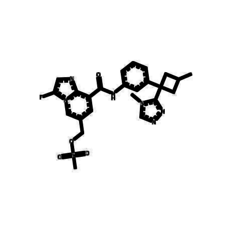 CC1CC(c2cccc(NC(=O)c3cc(COS(C)(=O)=O)cn4c(F)cnc34)c2)(c2nncn2C)C1